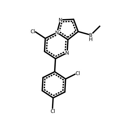 CBc1cnn2c(Cl)cc(-c3ccc(Cl)cc3Cl)nc12